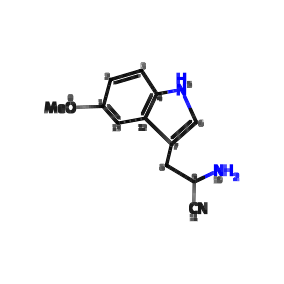 COc1ccc2[nH]cc(CC(N)C#N)c2c1